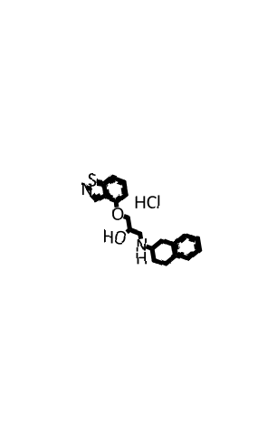 Cl.OC(CNC1CCc2ccccc2C1)COc1cccc2sncc12